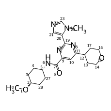 CO[C@H]1CC[C@H](NC(=O)c2cc(C3CCOCC3)nc(-c3cncn3C)n2)CC1